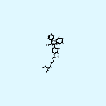 CCN(CC)CCCCNc1ccc(C(=C(Br)c2ccccc2)c2ccccc2)cc1